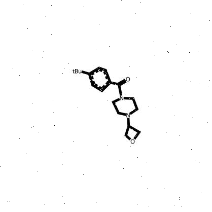 CC(C)(C)c1ccc(C(=O)N2CCN(C3COC3)CC2)cc1